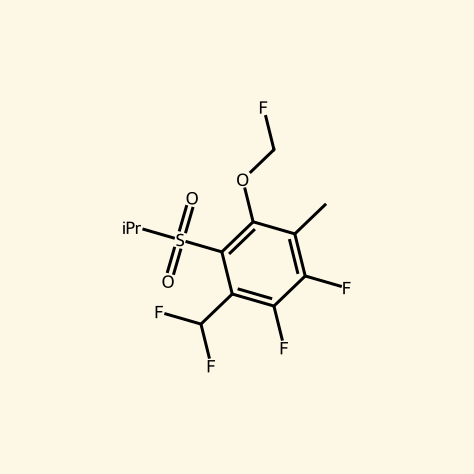 Cc1c(F)c(F)c(C(F)F)c(S(=O)(=O)C(C)C)c1OCF